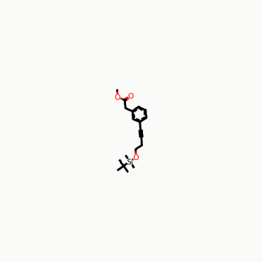 COC(=O)Cc1cccc(C#CCCO[Si](C)(C)C(C)(C)C)c1